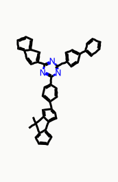 CC1(C)c2ccccc2-c2ccc(-c3ccc(-c4nc(-c5ccc(-c6ccccc6)cc5)nc(-c5ccc6ccccc6c5)n4)cc3)cc21